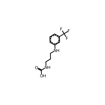 O=C(O)NCCCNc1cccc(C(F)(F)F)c1